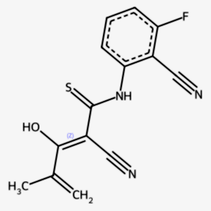 C=C(C)/C(O)=C(\C#N)C(=S)Nc1cccc(F)c1C#N